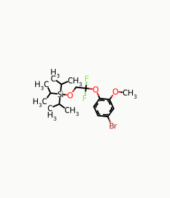 COc1cc(Br)ccc1OC(F)(F)CO[Si](C(C)C)(C(C)C)C(C)C